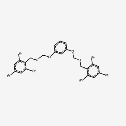 CC(C)c1cc(C(C)C)c(COCOc2cccc(OCOCc3c(C(C)C)cc(C(C)C)cc3C(C)C)c2)c(C(C)C)c1